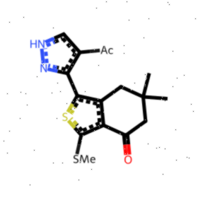 CSc1sc(-c2n[nH]cc2C(C)=O)c2c1C(=O)CC(C)(C)C2